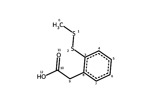 CSSc1ccccc1CC(=O)O